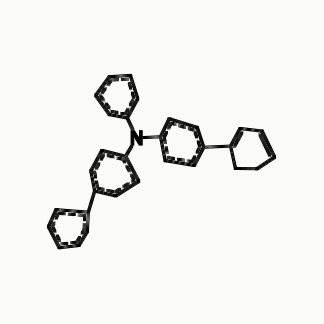 C1=CCCC(c2ccc(N(c3ccccc3)c3ccc(-c4ccccc4)cc3)cc2)=C1